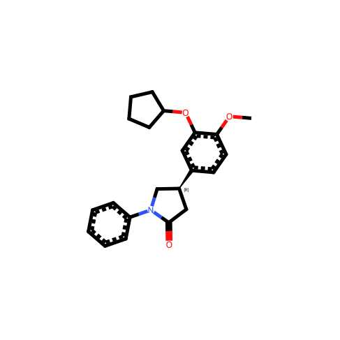 COc1ccc([C@H]2CC(=O)N(c3ccccc3)C2)cc1OC1CCCC1